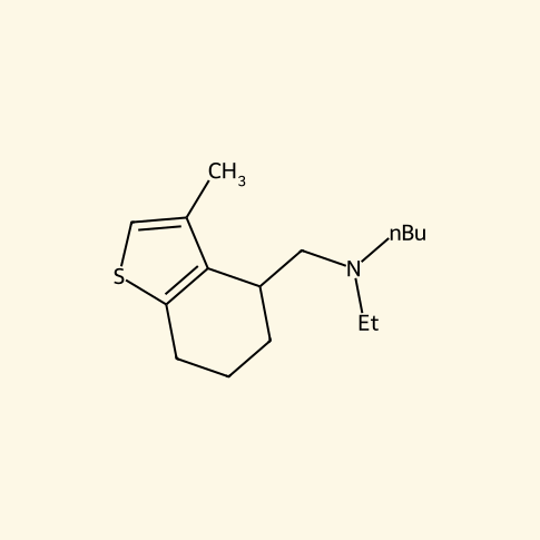 CCCCN(CC)CC1CCCc2scc(C)c21